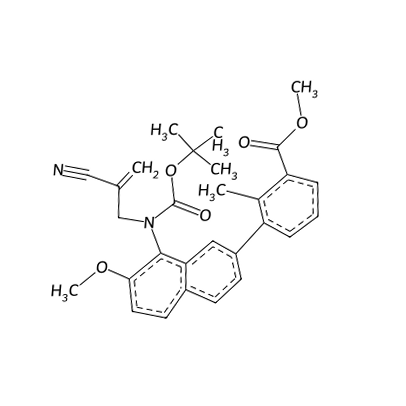 C=C(C#N)CN(C(=O)OC(C)(C)C)c1c(OC)ccc2ccc(-c3cccc(C(=O)OC)c3C)cc12